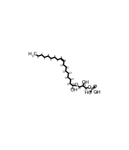 CCCCCCCC/C=C\CCCCCCC[C@@H](O)OCC(O)COP(=O)(O)O